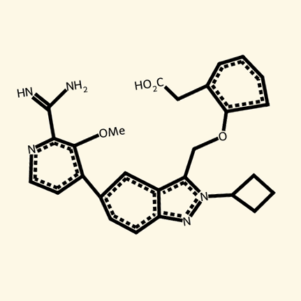 COc1c(-c2ccc3nn(C4CCC4)c(COc4ccccc4CC(=O)O)c3c2)ccnc1C(=N)N